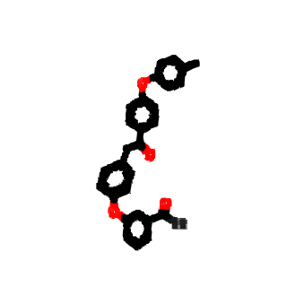 CCC(=O)c1cccc(Oc2ccc(CC(=O)c3ccc(Oc4ccc(C)cc4)cc3)cc2)c1